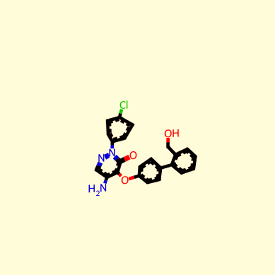 Nc1cnn(-c2ccc(Cl)cc2)c(=O)c1Oc1ccc(-c2ccccc2CO)cc1